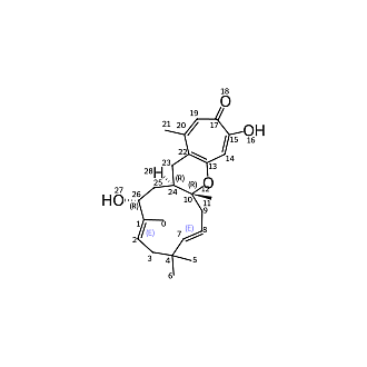 C/C1=C\CC(C)(C)/C=C/C[C@@]2(C)Oc3cc(O)c(=O)cc(C)c3C[C@@H]2C[C@H]1O